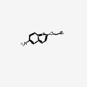 CCC(C)COc1ccc2cc(N)ccc2n1